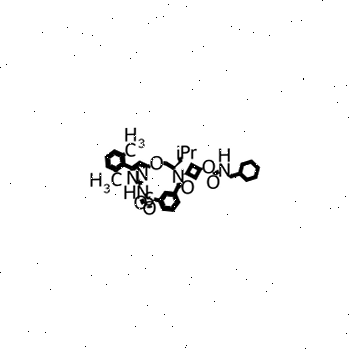 Cc1cccc(C)c1-c1cc2nc(n1)NS(=O)(=O)c1cccc(c1)C(=O)N([C@H]1C[C@H](OC(=O)NCC3CCCCC3)C1)[C@H](CC(C)C)CO2